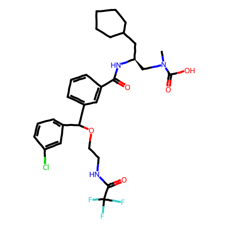 CN(C[C@H](CC1CCCCC1)NC(=O)c1cccc(C(OCCNC(=O)C(F)(F)F)c2cccc(Cl)c2)c1)C(=O)O